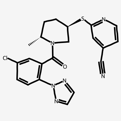 C[C@@H]1CC[C@@H](Sc2cc(C#N)ccn2)CN1C(=O)c1cc(Cl)ccc1-n1nccn1